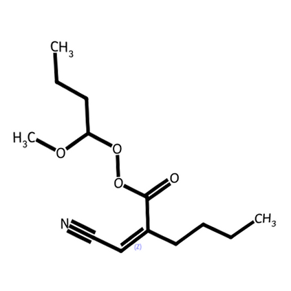 CCCC/C(=C/C#N)C(=O)OOC(CCC)OC